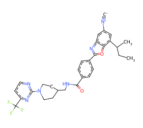 [C-]#[N+]c1cc(C(C)CC)c2oc(-c3ccc(C(=O)NCC4CCN(c5nccc(C(F)(F)F)n5)CC4)cc3)nc2c1